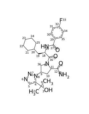 CC(C)(O)c1cnnn1C1CC(C(N)=O)N(C(=O)[C@@H](CC2CCCCC2)NC(=O)c2ccc(F)cc2)C1